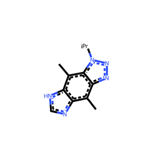 Cc1c2nc[nH]c2c(C)c2c1nnn2C(C)C